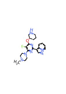 CN1CCN(c2nc(-c3cnn4ccccc34)nc(O[C@@H]3CCCNC3)c2F)CC1